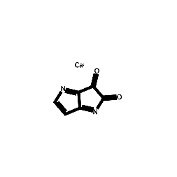 O=c1nc2ccnc-2c1=O.[Ca]